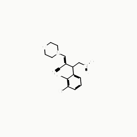 N#CC(=CN1CCOCC1)C(C[N+](=O)[O-])c1cccc(Cl)c1Cl